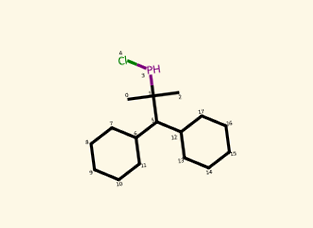 CC(C)(PCl)C(C1CCCCC1)C1CCCCC1